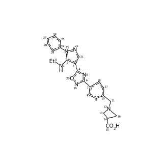 CCNc1c(-c2nc(-c3ccc(CN4CC(C(=O)O)C4)cc3)no2)cnn1-c1ccccc1